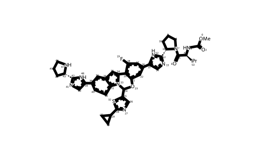 COC(=O)N[C@H](C(=O)N1CCC[C@H]1c1ncc(-c2cc(F)c3c(c2)OC(c2cnc(C4CC4)s2)n2c-3cc3cc(-c4cnc([C@@H]5CCCN5)[nH]4)ccc32)[nH]1)C(C)C